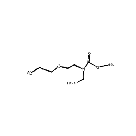 CC(C)(C)OC(=O)N(CCOCCO)CC(=O)O